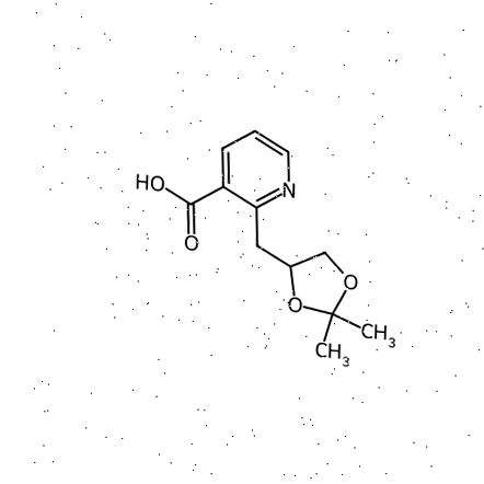 CC1(C)OCC(Cc2ncccc2C(=O)O)O1